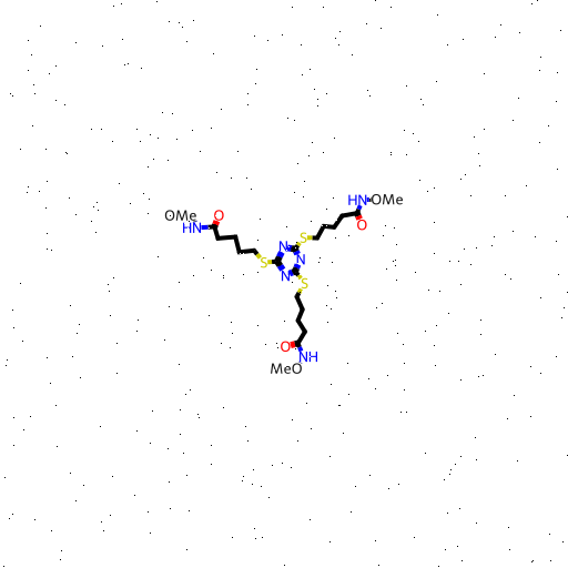 CONC(=O)CCCCSc1nc(SCCCCC(=O)NOC)nc(SCCCCC(=O)NOC)n1